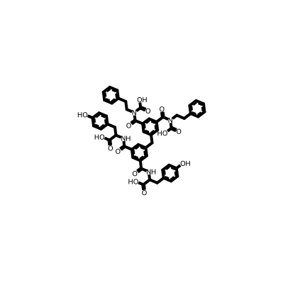 O=C(NC(Cc1ccc(O)cc1)C(=O)O)c1cc(Cc2cc(C(=O)N(CCc3ccccc3)C(=O)O)cc(C(=O)N(CCc3ccccc3)C(=O)O)c2)cc(C(=O)NC(Cc2ccc(O)cc2)C(=O)O)c1